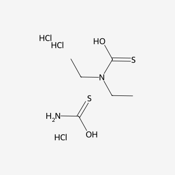 CCN(CC)C(O)=S.Cl.Cl.Cl.NC(O)=S